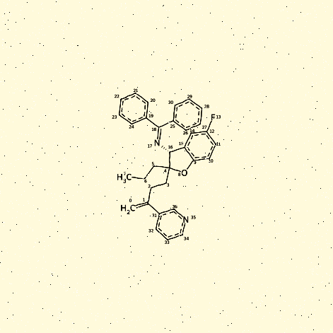 C=C(CCC1(CCC)Oc2ccc(F)cc2[C@H]1N=C(c1ccccc1)c1ccccc1)c1cccnc1